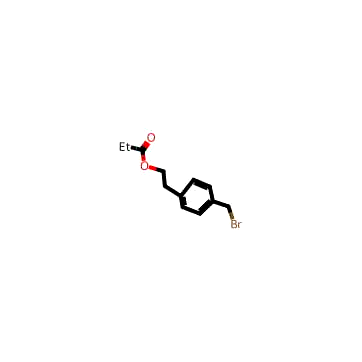 CCC(=O)OCCc1ccc(CBr)cc1